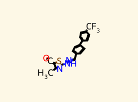 CC1=NC(NN=Cc2ccc(-c3ccc(C(F)(F)F)cc3)cc2)SC1=C=O